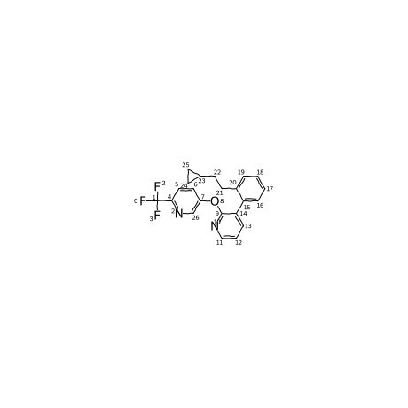 FC(F)(F)c1ccc(Oc2ncccc2-c2ccccc2CCC2CC2)cn1